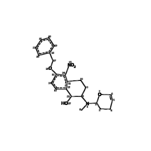 CN(C1CCC=CO1)C1CCc2c(ccc(OCc3ccccc3)c2[N+](=O)[O-])C1O